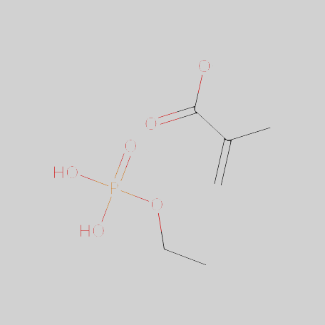 C=C(C)C([O])=O.CCOP(=O)(O)O